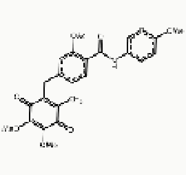 COC1=C(OC)C(=O)C(Cc2ccc(C(=O)Nc3ccc(OC)nc3)c(OC(C)=O)c2)=C(C)C1=O